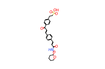 O=C(/C=C/c1ccc(/C=C/C(=O)c2ccc(CCS(=O)(=O)O)cc2)cc1)NOC1CCCCO1